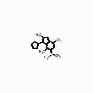 CC1=C(C2=CC=CC2)c2c(C)c(=[Si](C)C)cc(C)c2=[C]1